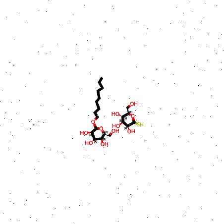 CCCCCCCCCOC1O[C@H](CO)[C@@H](O)[C@H](O)[C@H]1O.OC[C@H]1OC(S)[C@H](O)[C@@H](O)[C@@H]1O